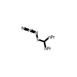 CCCC(CCC)SN=[N+]=[N-]